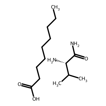 CC(C)[C@H](N)C(N)=O.CCCCCCCCC(=O)O